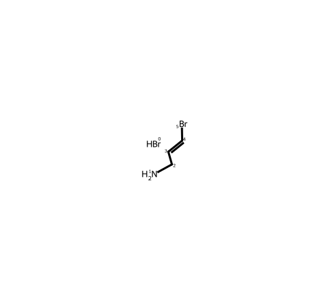 Br.NCC=CBr